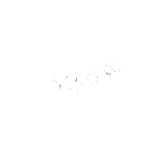 CN(C)C(=O)[C@H](O)[C@@H](O)C(=O)Nc1ccc(-c2cc[nH]n2)cc1